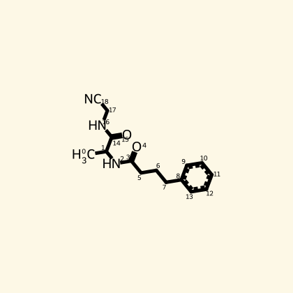 CC(NC(=O)CCCc1ccccc1)C(=O)NCC#N